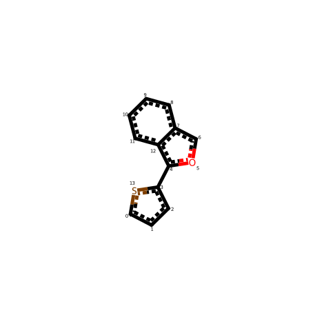 [c]1ccc(-c2occ3ccccc23)s1